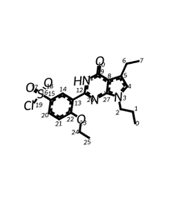 CCCn1cc(CC)c2c(=O)[nH]c(-c3cc(S(=O)(=O)Cl)ccc3OCC)nc21